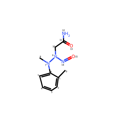 Cc1ccccc1N(C)N(CC(N)=O)N=O